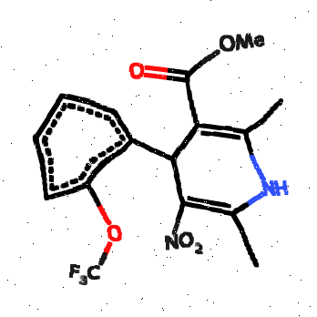 COC(=O)C1=C(C)NC(C)=C([N+](=O)[O-])C1c1ccccc1OC(F)(F)F